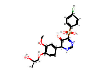 COc1cc(C2N=CN=C(S(=O)(=O)c3ccc(Cl)cc3)C2=O)ccc1OC[C@@H](C)O